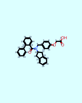 O=C(O)COc1ccc(CN(C(=O)c2ccccc2-c2ccccc2)C2Cc3ccccc3C2)cc1